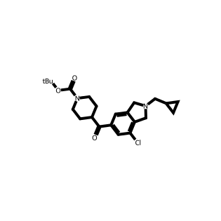 CC(C)(C)OC(=O)N1CCC(C(=O)c2cc(Cl)c3c(c2)CN(CC2CC2)C3)CC1